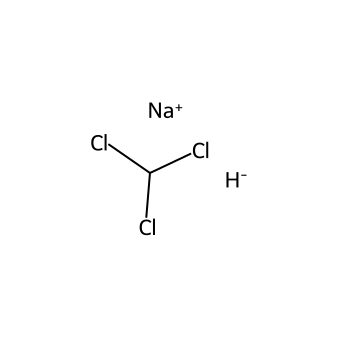 ClC(Cl)Cl.[H-].[Na+]